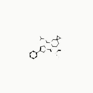 CC(C)OC(=O)N1CC2(CC2)C[C@H](C(=O)NO)[C@H]1C(=O)N1CC=C(c2ccccc2)C1